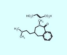 CN(C)CCC1Cc2ccccc2C(=O)N(C)C1.O=C(O)/C=C/C(=O)O